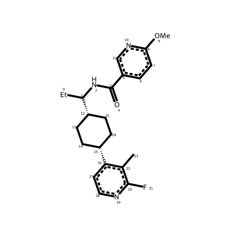 CCC(NC(=O)c1ccc(OC)nc1)[C@H]1CC[C@@H](c2ccnc(F)c2C)CC1